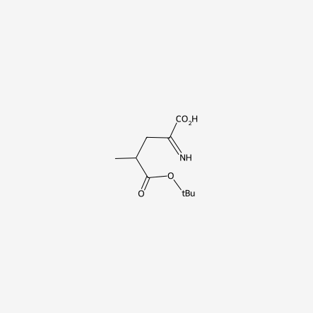 CC(CC(=N)C(=O)O)C(=O)OC(C)(C)C